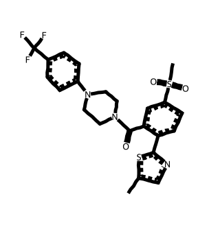 Cc1cnc(-c2ccc(S(C)(=O)=O)cc2C(=O)N2CCN(c3ccc(C(F)(F)F)cc3)CC2)s1